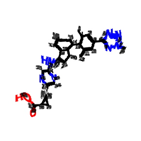 Cc1cc(-c2nnn(C)n2)cc(C)c1-c1cccc2c1CC[C@H]2Nc1cnc([C@@H]2C[C@H]2C(=O)O)cn1